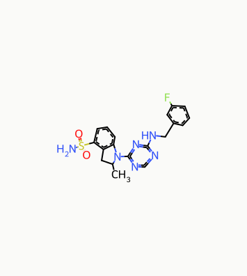 CC1Cc2c(cccc2S(N)(=O)=O)N1c1ncnc(NCc2cccc(F)c2)n1